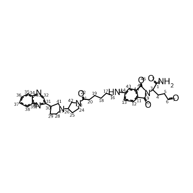 NC(=O)C(CCC=O)N1C(=O)c2ccc(NCCCCCC(=O)N3CCC(N4CCC(c5cnc6ccccc6n5)C4)C3)cc2C1=O